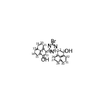 OC1=CC(c2nc(Br)nc(C3C=C(O)c4cccc5cccc3c45)n2)c2cccc3cccc1c23